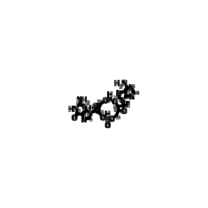 Nc1nc2c(ncn2C2OC3OPOC4C(CO[PH](=O)OC2C3O)OC4(F)n2cnc3c(N)ncnc32)c(=O)[nH]1